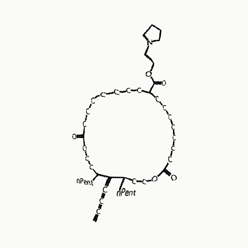 C=C=C=C=C1C(CCCCC)CCOC(=O)CCCCCCCC(C(=O)OCCN2CCCC2)CCCCCCCC(=O)OCCC1CCCCC